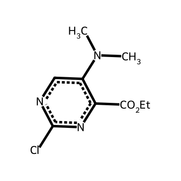 CCOC(=O)c1nc(Cl)ncc1N(C)C